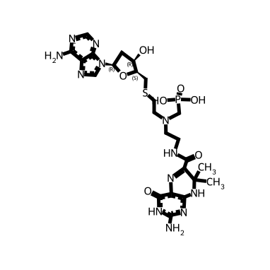 CC1(C)Nc2nc(N)[nH]c(=O)c2N=C1C(=O)NCCN(CCSC[C@H]1O[C@@H](n2cnc3c(N)ncnc32)C[C@H]1O)CP(=O)(O)O